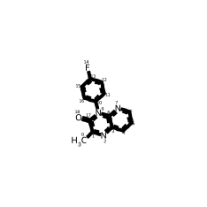 Cc1nc2cccnc2n(-c2ccc(F)cc2)c1=O